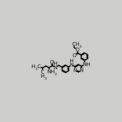 CCOC(=O)c1cccc(Nc2cc(Nc3cccc(CNC(=O)C(N)CC(C)C)c3)ncn2)c1